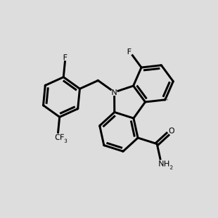 NC(=O)c1cccc2c1c1[c]ccc(F)c1n2Cc1cc(C(F)(F)F)ccc1F